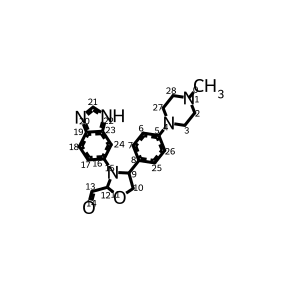 CN1CCN(c2ccc(C3COC(C=O)N3c3ccc4nc[nH]c4c3)cc2)CC1